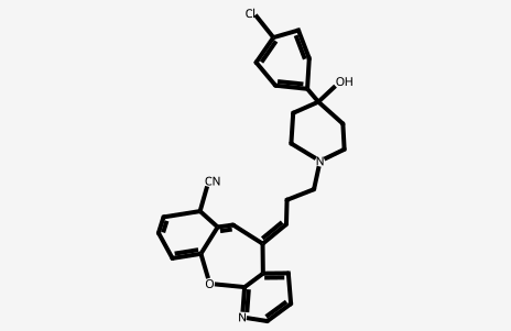 N#CC1C=CC=C2Oc3ncccc3C(=CCCN3CCC(O)(c4ccc(Cl)cc4)CC3)C=C21